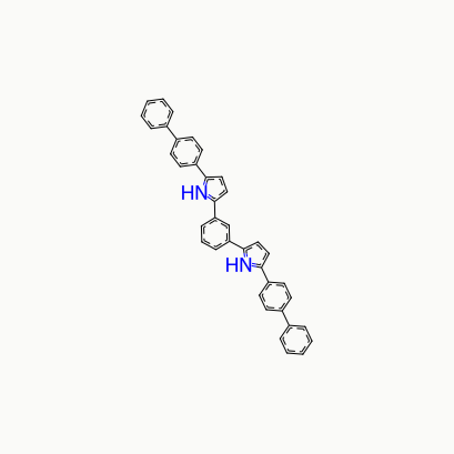 c1ccc(-c2ccc(-c3ccc(-c4cccc(-c5ccc(-c6ccc(-c7ccccc7)cc6)[nH]5)c4)[nH]3)cc2)cc1